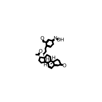 CC(=O)[C@H]1CC[C@H]2[C@@H]3C=CC4=CC(=O)CC[C@@]4(C)[C@@H]3CC[C@]12CCCC1=CCC(=NO)C=C1C=O